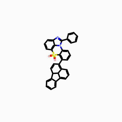 O=S1(=O)c2c(C3=C4C=CC=C5c6ccccc6C(C=C3)C54)cccc2-n2c(-c3ccccc3)nc3cccc1c32